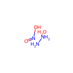 NN.O.O=NO